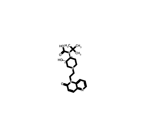 CC(C)(C)N(C(=O)O)[C@H]1CCN(CCn2c(=O)ccc3ncccc32)C[C@@H]1O